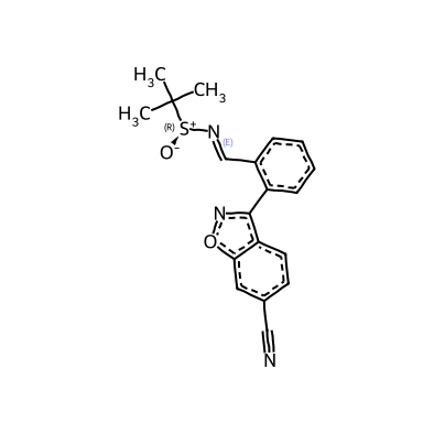 CC(C)(C)[S@+]([O-])/N=C/c1ccccc1-c1noc2cc(C#N)ccc12